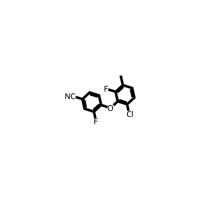 Cc1ccc(Cl)c(Oc2ccc(C#N)cc2F)c1F